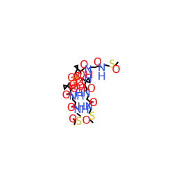 CC(=O)SCCNC(=O)CCNC(=O)C(O)C1(COP(=O)(OCC2(C(O)C(=O)NCCC(=O)NCCSC(C)=O)CC2)OCC2(C(O)C(=O)NCCC(=O)NCCSC(C)=O)CC2)CC1